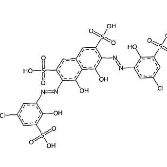 O=S(=O)(O)c1cc(Cl)cc(N=Nc2c(S(=O)(=O)O)cc3cc(S(=O)(=O)O)c(N=Nc4cc(Cl)cc(S(=O)(=O)O)c4O)c(O)c3c2O)c1O